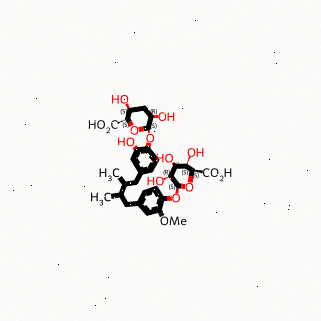 COc1cc(CC(C)C(C)Cc2ccc(O[C@@H]3O[C@H](C(=O)O)[C@@H](O)C[C@H]3O)c(O)c2)ccc1O[C@@H]1O[C@H](C(=O)O)[C@@H](O)[C@H](O)[C@H]1O